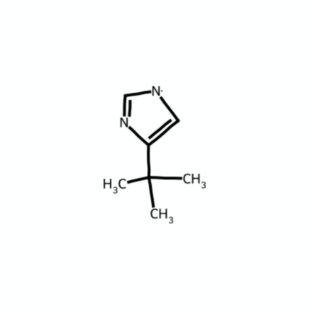 CC(C)(C)C1=C[N]C=N1